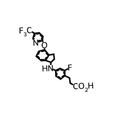 O=C(O)CCc1ccc(NC2CCc3c(Oc4ccc(C(F)(F)F)cn4)cccc32)cc1F